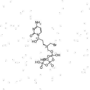 Nc1ccn([C@H](O)CC[C@@H](CBr)COP(=O)(O)OP(=O)(O)OP(=O)(O)O)c(=O)n1